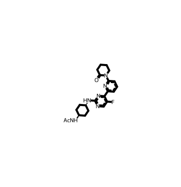 CC(=O)N[C@H]1CC[C@H](Nc2ncc(F)c(-c3cccc(N4CCCCC4=O)n3)n2)CC1